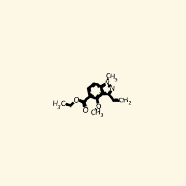 C=Cc1nn(C)c2ccc(C(=O)OCC)c(OC)c12